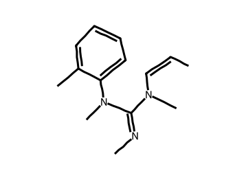 C/C=C\N(C)/C(=N/C)N(C)c1ccccc1C